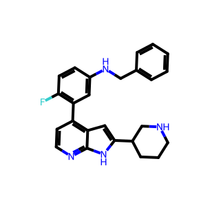 Fc1ccc(NCc2ccccc2)cc1-c1ccnc2[nH]c(C3CCCNC3)cc12